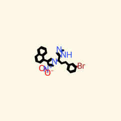 O=[N+]([O-])c1cn(C(CCc2cccc(Br)c2)c2cnc[nH]2)cc1-c1cccc2ccccc12